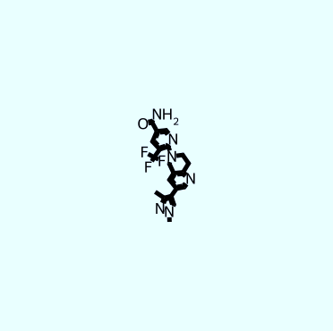 Cc1nn(C)cc1-c1cnc2c(c1)CN(c1ncc(C(N)=O)cc1C(F)(F)F)CC2